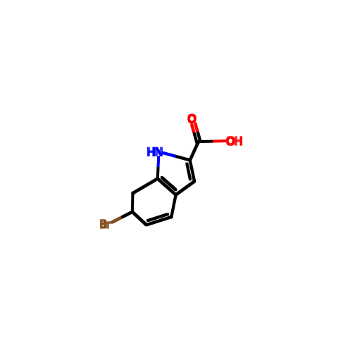 O=C(O)c1cc2c([nH]1)CC(Br)C=C2